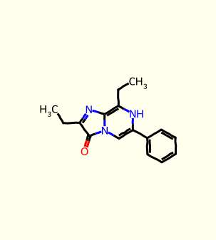 CCc1[nH]c(-c2ccccc2)cn2c(=O)c(CC)nc1-2